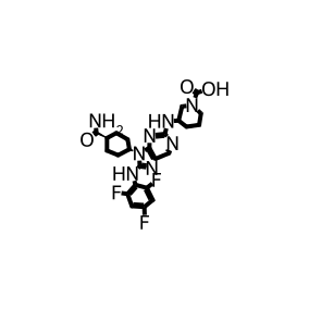 NC(=O)[C@H]1CC[C@H](n2c(Nc3c(F)cc(F)cc3F)nc3cnc(NC4CCCN(C(=O)O)C4)nc32)CC1